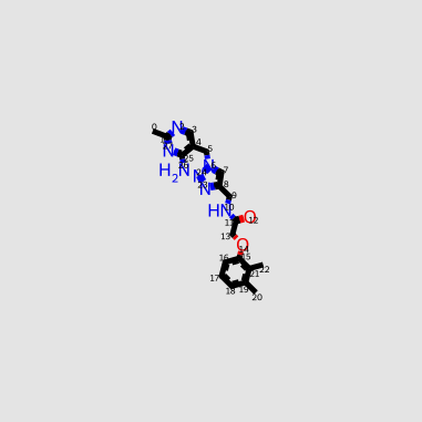 Cc1ncc(Cn2cc(CNC(=O)COc3cccc(C)c3C)nn2)c(N)n1